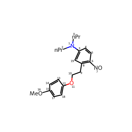 CCCN(CCC)c1ccc(N=O)c(CCOc2ccc(OC)cc2)c1